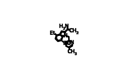 C=C(N)c1cc2c(CC)ccc([C@H](C)CC)c2n1CC1=NC=C(C)CC1